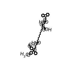 COc1ccc(C(OCCCCNC(=O)CCCCCCCCCCCN(CC(=O)O)C(=O)CNC(=O)OCC2c3ccccc3-c3ccccc32)(c2ccccc2)c2ccc(OC)cc2)cc1